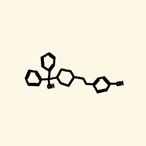 Oc1ccc(CCC2CCC(C(O)(c3ccccc3)c3ccccc3)CC2)cc1